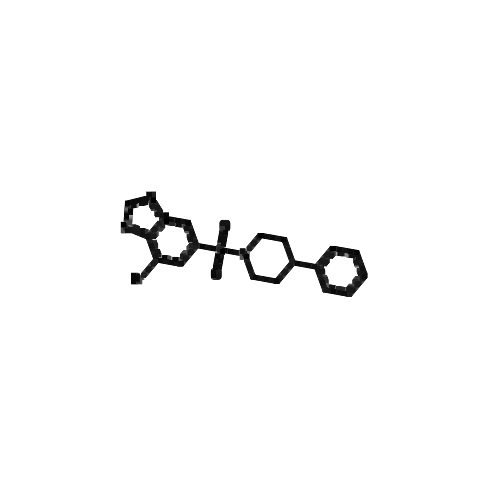 O=S(=O)(c1cc(Br)c2ncnn2c1)N1CCC(c2ccccc2)CC1